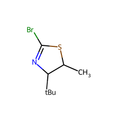 CC1SC(Br)=NC1C(C)(C)C